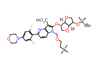 CC(C)(C)[Si](C)(C)OC1CO[C@H]2[C@@H]1OC[C@H]2Oc1c(C(=O)O)c2nc(-c3c(F)cc(N4CCOCC4)cc3F)ccc2n1COCC[Si](C)(C)C